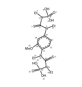 CCN(C(=S)N(CC)P(=O)(O)O)c1ccc(N(CC)C(=S)N(CC)P(=O)(O)O)c(OC)c1